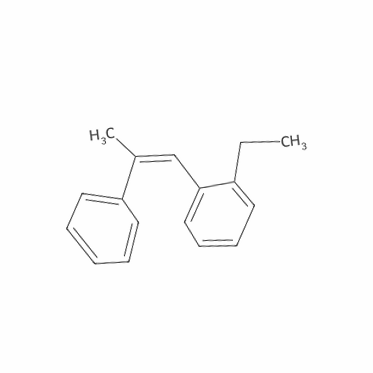 CCc1ccccc1/C=C(/C)c1ccccc1